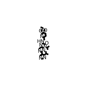 CCS(=O)(=O)c1ccc(CNc2nc3cnc(-c4cncnc4C(C)C)nc3n(C(C)C)c2=O)nc1